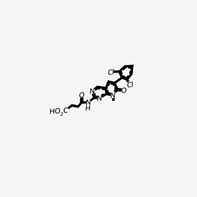 Cn1c(=O)c(-c2c(Cl)cccc2Cl)cc2cnc(NC(=O)CCC(=O)O)nc21